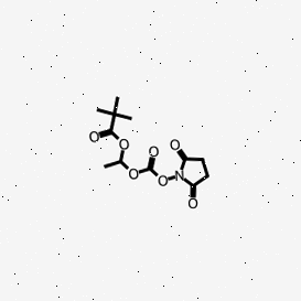 CC(OC(=O)ON1C(=O)CCC1=O)OC(=O)C(C)(C)C